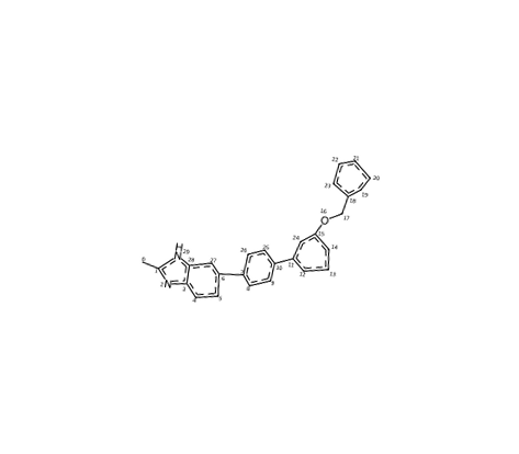 Cc1nc2ccc(-c3ccc(-c4cccc(OCc5ccccc5)c4)cc3)cc2[nH]1